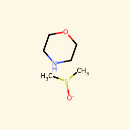 C1COCCN1.C[S+](C)[O-]